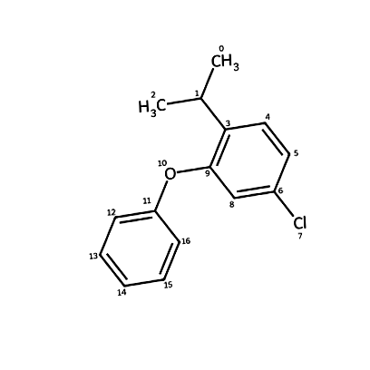 CC(C)c1ccc(Cl)cc1Oc1ccccc1